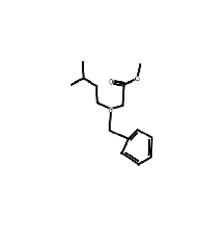 COC(=O)CN(CCC(C)C)Cc1ccccc1